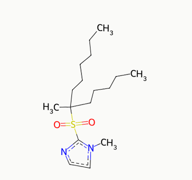 CCCCCCC(C)(CCCCC)S(=O)(=O)c1nccn1C